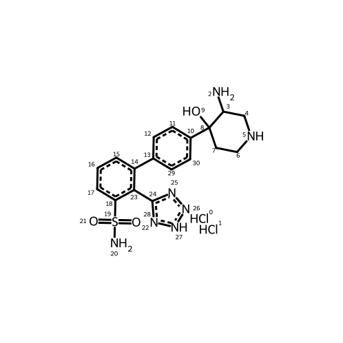 Cl.Cl.NC1CNCCC1(O)c1ccc(-c2cccc(S(N)(=O)=O)c2-c2nn[nH]n2)cc1